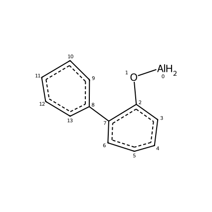 [AlH2][O]c1ccccc1-c1ccccc1